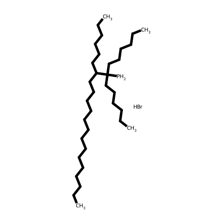 Br.CCCCCCCCCCCCCCC(CCCCCC)C(P)(CCCCCC)CCCCCC